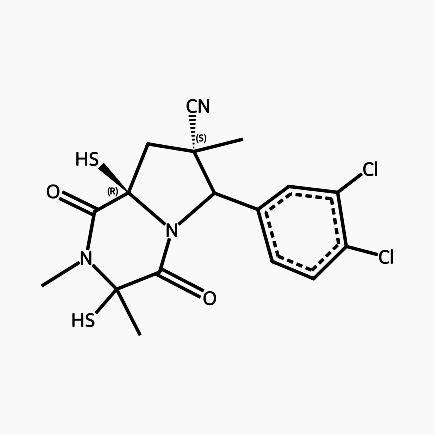 CN1C(=O)[C@]2(S)C[C@](C)(C#N)C(c3ccc(Cl)c(Cl)c3)N2C(=O)C1(C)S